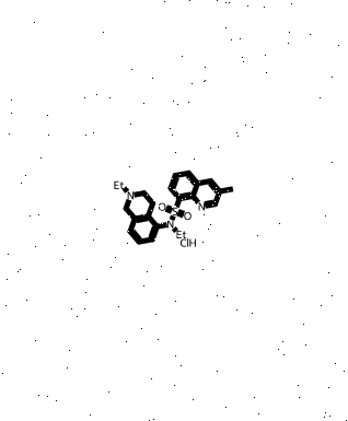 CCN1CCc2c(cccc2N(CC)S(=O)(=O)c2cccc3cc(C)cnc23)C1.Cl